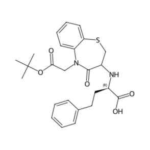 CC(C)(C)OC(=O)CN1C(=O)C(N[C@H](CCc2ccccc2)C(=O)O)CSc2ccccc21